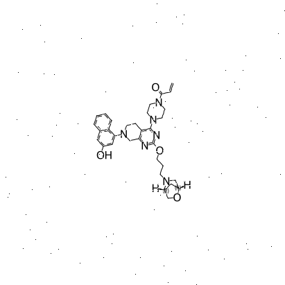 C=CC(=O)N1CCN(c2nc(OCCCN3C[C@H]4C[C@@H]3CO4)nc3c2CCN(c2cc(O)cc4ccccc24)C3)CC1